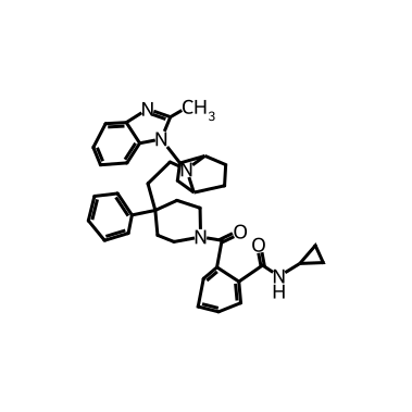 Cc1nc2ccccc2n1C1CC2CCC1N2CCC1(c2ccccc2)CCN(C(=O)c2ccccc2C(=O)NC2CC2)CC1